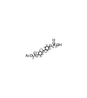 CC(=O)OC(C)[C@H](Cl)Oc1ccc(C(C)(C)c2ccc(OC[C@@H](O)CO)cc2)cc1